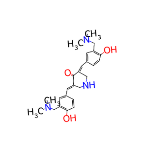 CN(C)Cc1cc(C=C2CNCC(=Cc3ccc(O)c(CN(C)C)c3)C2=O)ccc1O